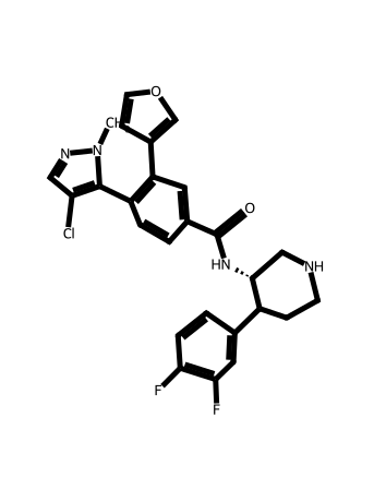 Cn1ncc(Cl)c1-c1ccc(C(=O)N[C@@H]2CNCCC2c2ccc(F)c(F)c2)cc1-c1ccoc1